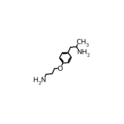 CC(N)Cc1ccc(OCCCN)cc1